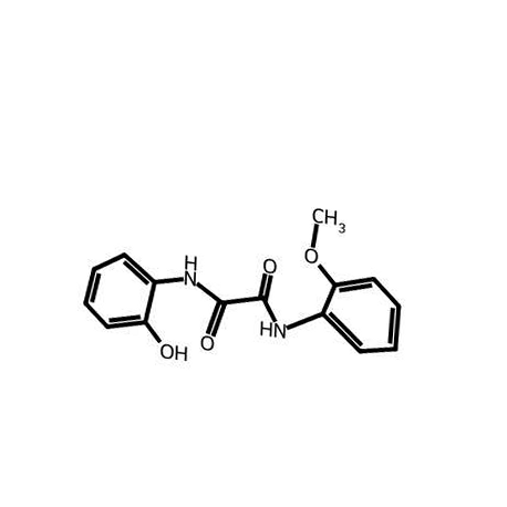 COc1ccccc1NC(=O)C(=O)Nc1ccccc1O